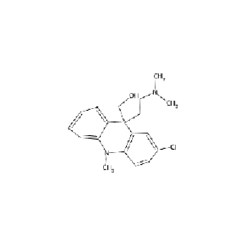 CN(C)CCC1(CO)c2ccccc2N(C)c2ccc(Cl)cc21